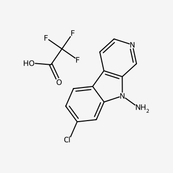 Nn1c2cnccc2c2ccc(Cl)cc21.O=C(O)C(F)(F)F